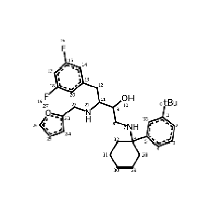 CC(C)(C)c1cccc(C2(NCC(O)C(Cc3cc(F)cc(F)c3)NCc3ccco3)CCCCC2)c1